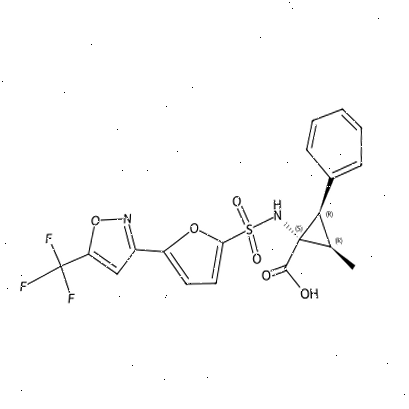 C[C@@H]1[C@H](c2ccccc2)[C@]1(NS(=O)(=O)c1ccc(-c2cc(C(F)(F)F)on2)o1)C(=O)O